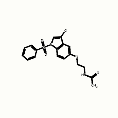 CC(=O)NCCOc1ccc2c(c1)c(Cl)cn2S(=O)(=O)c1ccccc1